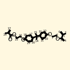 C=C(C)C(=C)OCCOc1ccc(C(C)(C)c2ccc(OCCOC(=O)C(=C)C)cc2)cc1